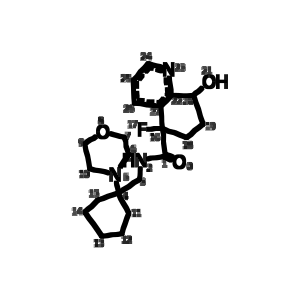 O=C(NCC1(N2CCOCC2)CCCCC1)C1(F)CCC(O)c2ncccc21